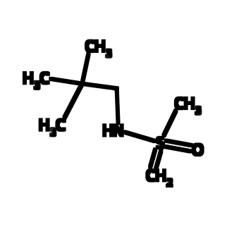 C=S(C)(=O)NCC(C)(C)C